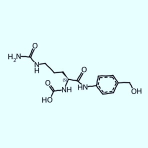 NC(=O)NCCC[C@H](NC(=O)O)C(=O)Nc1ccc(CO)cc1